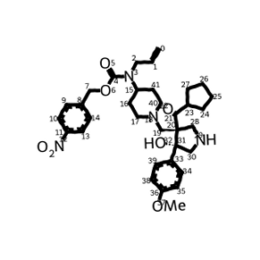 C=CCN(C(=O)OCc1ccc([N+](=O)[O-])cc1)C1CCN(C[C@@]2(C(=O)C3CCCC3)CNC[C@@]2(O)c2ccc(OC)cc2)CC1